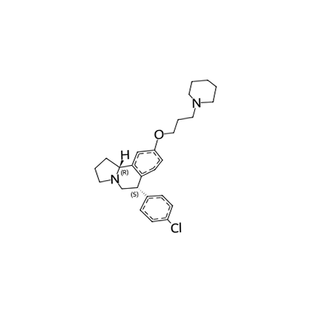 Clc1ccc([C@@H]2CN3CCC[C@@H]3c3cc(OCCCN4CCCCC4)ccc32)cc1